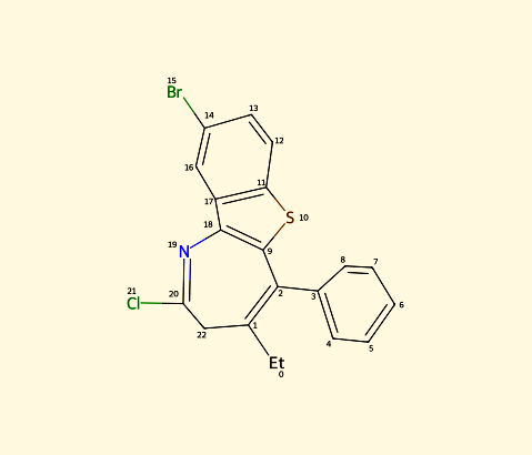 CCC1=C(c2ccccc2)c2sc3ccc(Br)cc3c2N=C(Cl)C1